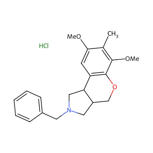 COc1cc2c(c(OC)c1C)OCC1CN(Cc3ccccc3)CC21.Cl